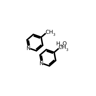 Cc1ccncc1.Cc1ccncc1.O